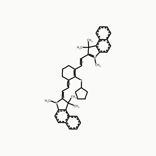 CN1/C(=C/C=C2\CCCC(/C=C/C3=[N+](C)c4ccc5ccccc5c4C3(C)C)=C2SC2CCCC2)C(C)(C)c2c1ccc1ccccc21